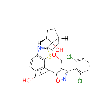 OCc1ccc2nc(C3(O)[C@@H]4CC[C@H]3CC(OCc3c(-c5c(Cl)cccc5Cl)noc3C3CC3)C4)sc2c1